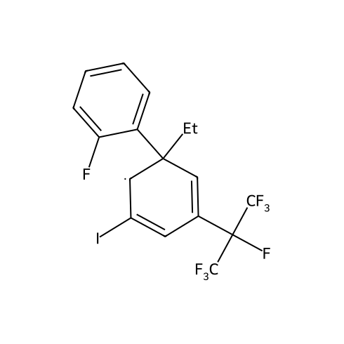 CCC1(c2ccccc2F)[CH]C(I)=CC(C(F)(C(F)(F)F)C(F)(F)F)=C1